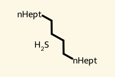 CCCCCCCCCCCCCCCCCC.S